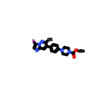 CC(C)(C)OC(=O)N1CCN(c2ccc(-c3cc4ncc(I)n4nc3C#N)cc2)CC1